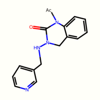 CC(=O)N1C(=O)N(NCc2cccnc2)Cc2ccccc21